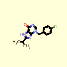 CC(C)c1nc2c([nH]1)c(=O)ncn2Cc1ccc(Cl)cc1